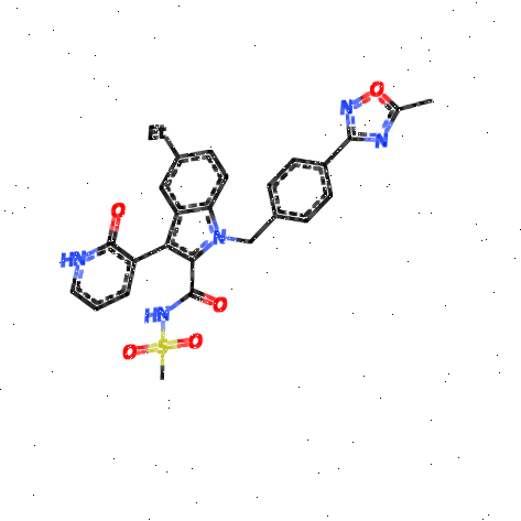 CCc1ccc2c(c1)c(-c1ccc[nH]c1=O)c(C(=O)NS(C)(=O)=O)n2Cc1ccc(-c2noc(C)n2)cc1